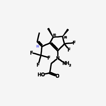 C/C=C(\C1=C(N(N)CC(=O)O)C(F)(F)[C@H](C)[C@@H]1C)C(F)(F)F